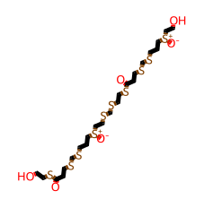 O=C(CCSCSCCC[S+]([O-])CCSCSCCSC(=O)CCSCSCCC[S+]([O-])CCO)SCCO